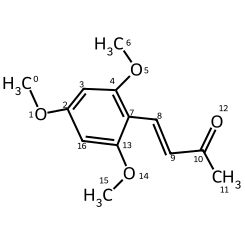 COc1cc(OC)c(/C=C/C(C)=O)c(OC)c1